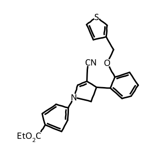 CCOC(=O)c1ccc(N2C=C(C#N)C(c3ccccc3OCc3ccsc3)C2)cc1